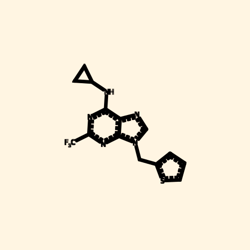 FC(F)(F)c1nc(NC2CC2)c2ncn(Cc3cccs3)c2n1